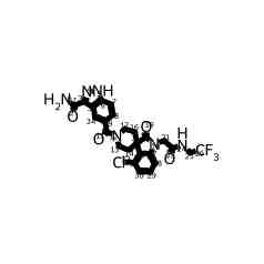 NC(=O)c1n[nH]c2ccc(C(=O)N3CCC4(CC3)C(=O)N(CC(=O)NCC(F)(F)F)c3cccc(Cl)c34)cc12